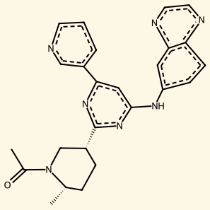 CC(=O)N1C[C@H](c2nc(Nc3ccc4nccnc4c3)cc(-c3cccnc3)n2)CC[C@@H]1C